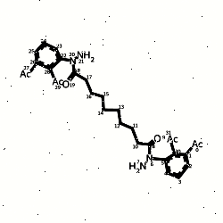 CC(=O)c1cccc(N(N)C(=O)CCCCCCCCC(=O)N(N)c2cccc(C(C)=O)c2C(C)=O)c1C(C)=O